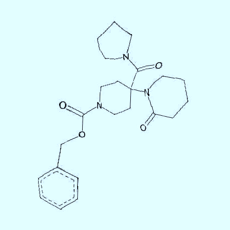 O=C(OCc1ccccc1)N1CCC(C(=O)N2CCCC2)(N2CCCCC2=O)CC1